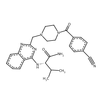 CC(C)[C@H](Nc1nc(CN2CCN(C(=O)c3ccc(C#N)cc3)CC2)nc2ccccc12)C(N)=O